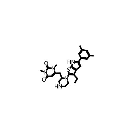 CCc1c(N2CCNCC2Cc2cc(=O)n(C)c(=O)n2C)sc2[nH]c(-c3cc(C)cc(C)c3)cc12